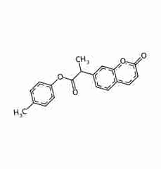 Cc1ccc(OC(=O)C(C)c2ccc3ccc(=O)oc3c2)cc1